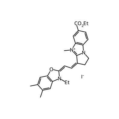 CCOC(=O)c1ccc2c(c1)[n+](C)c1n2CCC1=CC=C1Oc2cc(C)c(C)cc2N1CC.[I-]